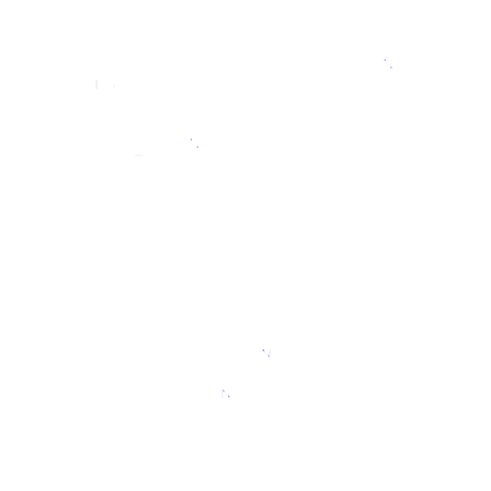 CC(C)C(=O)NCCc1cc(C#N)ccc1-c1ccc(-n2ccnc2)cc1